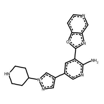 Nc1ncc(-c2cnn(C3CCNCC3)c2)cc1-c1nc2cnccc2o1